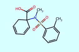 Cc1ccccc1S(=O)(=O)N(C)C1(C(=O)O)C=CC=CC1